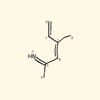 C=C/C(C)=C\C(C)=N